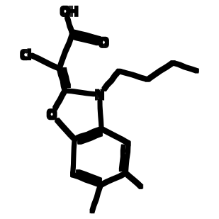 CCCCN1C(=C(Cl)C(=O)O)Oc2cc(C)c(C)cc21